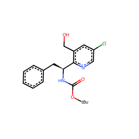 CC(C)(C)OC(=O)N[C@@H](Cc1ccccc1)c1ncc(Cl)cc1CO